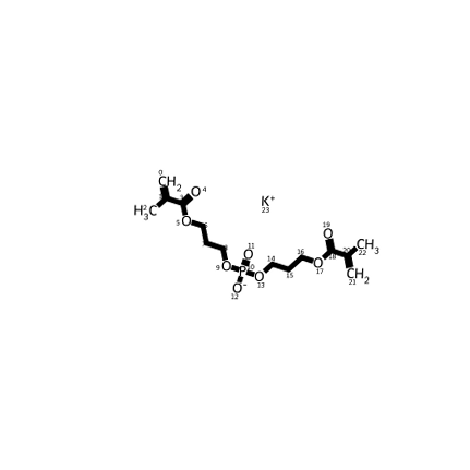 C=C(C)C(=O)OCCCOP(=O)([O-])OCCCOC(=O)C(=C)C.[K+]